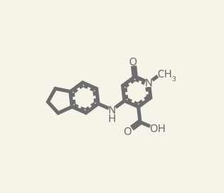 Cn1cc(C(=O)O)c(Nc2ccc3c(c2)CCC3)cc1=O